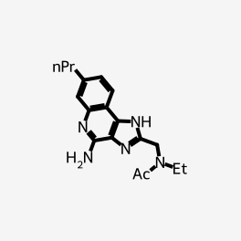 CCCc1ccc2c(c1)nc(N)c1nc(CN(CC)C(C)=O)[nH]c12